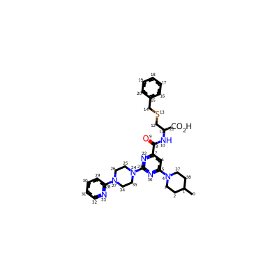 CC1CCN(c2cc(C(=O)NC(CSCc3ccccc3)C(=O)O)nc(N3CCN(c4ccccn4)CC3)n2)CC1